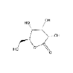 O=C1O[C@@H](CO)[C@H](O)[C@H](O)[C@@H]1O